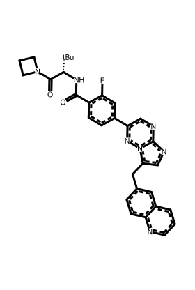 CC(C)(C)[C@H](NC(=O)c1ccc(-c2cnc3ncc(Cc4ccc5ncccc5c4)n3n2)cc1F)C(=O)N1CCC1